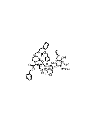 C[C@H]1C[C@@H](N)[C@H](O)[C@@H](O[C@@H]2O[C@H](CO)[C@@H](O[C@H]3O[C@@H](CN=[N+]=[N-])[C@@H](O)[C@H](O)[C@H]3N=[N+]=[N-])[C@H]2O)[C@@H]1O[C@H]1O[C@H](CN(Cc2ccccc2)C(=O)OCc2ccccc2)CC[C@H]1NC(=O)OCc1ccccc1